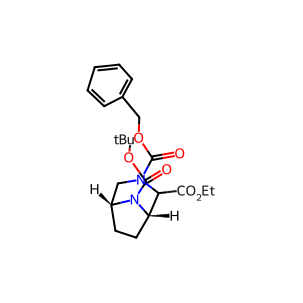 CCOC(=O)C1[C@@H]2CC[C@H](CN1C(=O)OCc1ccccc1)N2C(=O)OC(C)(C)C